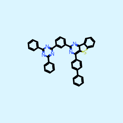 c1ccc(-c2ccc(-c3nc(-c4cccc(-c5nc(-c6ccccc6)nc(-c6ccccc6)n5)c4)nc4c3sc3ccccc34)cc2)cc1